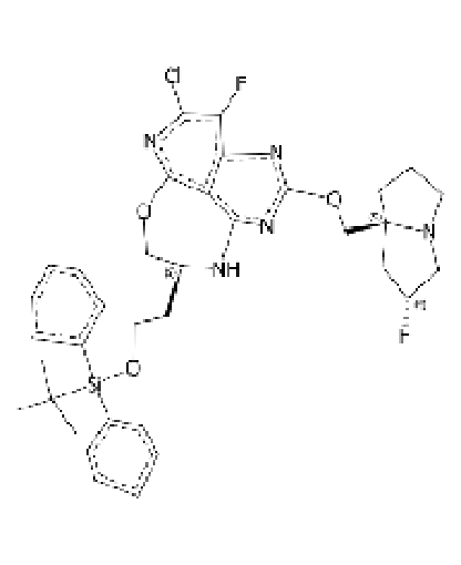 CC(C)(C)[Si](OCC[C@H]1COc2nc(Cl)c(F)c3nc(OC[C@@]45CCCN4C[C@H](F)C5)nc(c23)N1)(c1ccccc1)c1ccccc1